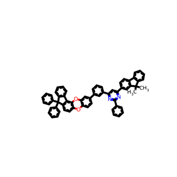 CC1(C)c2ccccc2-c2ccc(-c3cc(-c4cccc(-c5ccc6c(c5)Oc5c(ccc7c5-c5ccccc5C7(c5ccccc5)c5ccccc5)O6)c4)nc(-c4ccccc4)n3)cc21